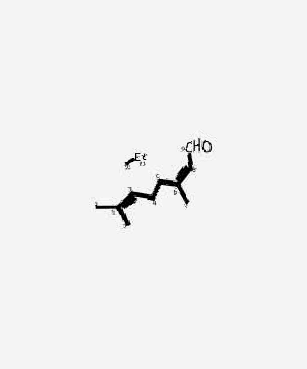 CC(C)=CCCC(C)=CC=O.CCC